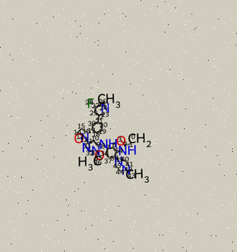 C=CC(=O)Nc1cc(Nc2cc(N3OCC[C@@H]3c3cccc(-c4cnc(C)c(F)c4)c3)ncn2)c(OC)cc1N1CCN(C)CC1